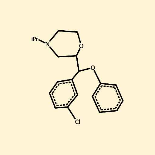 CC(C)N1CCOC(C(Oc2ccccc2)c2cccc(Cl)c2)C1